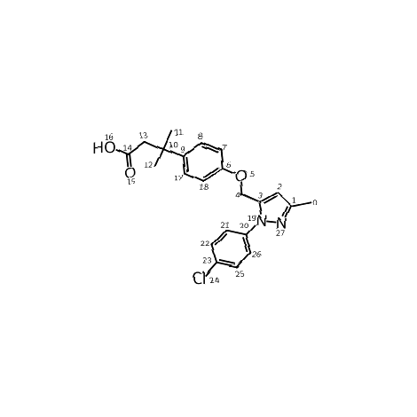 Cc1cc(COc2ccc(C(C)(C)CC(=O)O)cc2)n(-c2ccc(Cl)cc2)n1